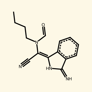 CCCCN(C=O)C(C#N)=C1NC(=N)c2ccccc21